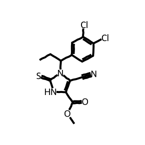 CCC(c1ccc(Cl)c(Cl)c1)n1c(C#N)c(C(=O)OC)[nH]c1=S